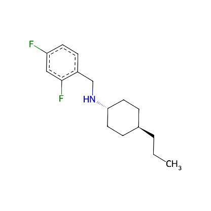 CCC[C@H]1CC[C@H](NCc2ccc(F)cc2F)CC1